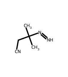 CC(C)(CC#N)N=N